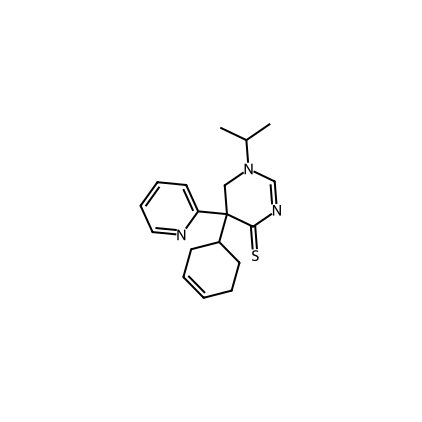 CC(C)N1C=NC(=S)C(c2ccccn2)(C2CC=CCC2)C1